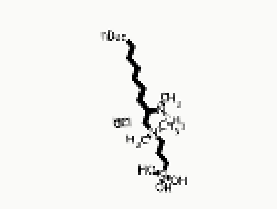 CCCCCCCCCCCCCCCCC(C[N+](C)(C)CCC[Si](O)(O)O)N(C)C.Cl.[Cl-]